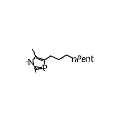 CCCCCCCCC1=C(C)[N]P=P1